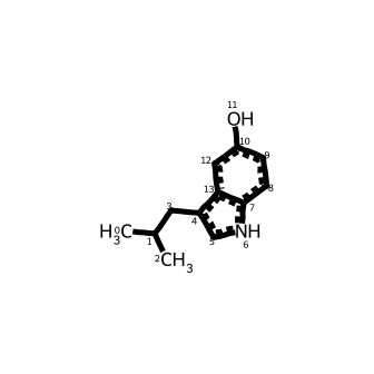 CC(C)Cc1c[nH]c2ccc(O)cc12